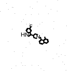 Cc1cccc2cccc(CN3CCC(c4c[nH]c5ccc(F)cc45)CC3)c12